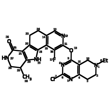 CCN1CCc2nc(Cl)nc(Oc3ncc4c(c3F)-c3[nH]c5c(c3CC4)C(=O)NCC5C)c2C1